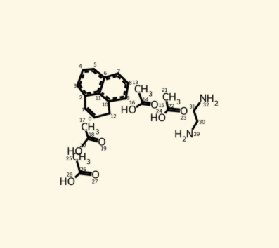 C1=Cc2cccc3cccc(c23)C1.CC(=O)O.CC(=O)O.CC(=O)O.CC(=O)O.NCCN